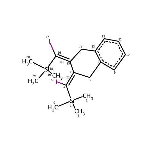 C[Si](C)(C)/C(I)=C1\Cc2ccccc2C\C1=C(/I)[Si](C)(C)C